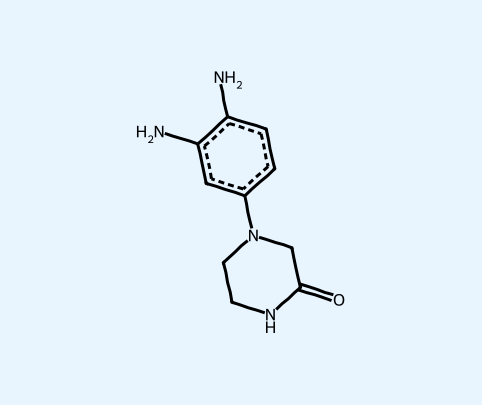 Nc1ccc(N2CCNC(=O)C2)cc1N